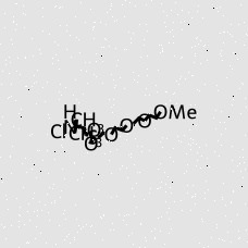 COCCOCCOCCOCCS(=O)(=O)CCC(C)(C)NCl